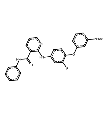 CC(=O)Nc1cc(Oc2ccc(Nc3ncccc3C(=O)Nc3ccccc3)cc2F)ccn1